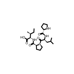 CC[C@H](C)[C@H](NC(=O)[C@@H]1CCCN1C(=O)[C@H](CC(C)C)NC(=O)[C@@H]1CCCN1)C(=O)O